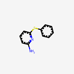 Nc1cccc(Sc2ccccc2)n1